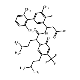 Cc1cc(-c2c(C)cccc2C)cc(C(CC(=O)O)NC(=O)C(CCC(C)C)n2cc(CCN(C)C)c(C(F)(F)F)cc2=O)c1F